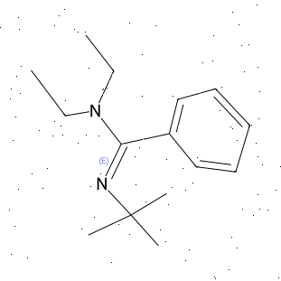 CCN(CC)/C(=N/C(C)(C)C)c1ccccc1